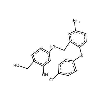 Nc1ccc(Sc2ccc(Cl)cc2)c(CNc2ccc(CO)c(O)c2)c1